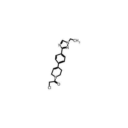 CCn1cnc(-c2ccc(C3=CCN(C(=O)CCl)CC3)cc2)n1